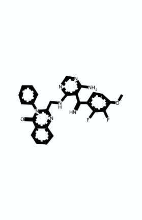 COc1ccc(C(=N)c2c(N)ncnc2NCc2nc3ccccc3c(=O)n2-c2ccccc2)c(F)c1F